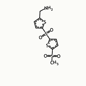 CS(=O)(=O)c1ccc(S(=O)(=O)c2ccc(CN)s2)s1